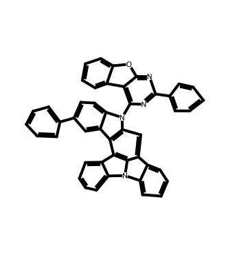 c1ccc(-c2ccc3c(c2)c2c4c5ccccc5n5c6ccccc6c(cc2n3-c2nc(-c3ccccc3)nc3oc6ccccc6c23)c45)cc1